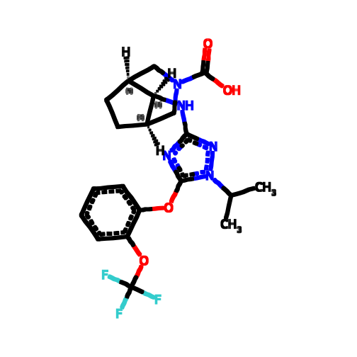 CC(C)n1nc(N[C@H]2[C@@H]3CC[C@H]2CN(C(=O)O)C3)nc1Oc1ccccc1OC(F)(F)F